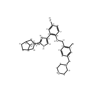 Cc1cc(CN2CCOCC2)ccc1COc1ccc(F)cc1-c1csc(N2CC3CCC(C2)C3C(=O)O)n1